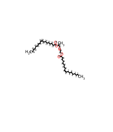 CCCCCCCC/C=C\CCCCCCCC(=O)OCCOCC(C)OC(=O)CCCCCCC/C=C\CCCCCCCC